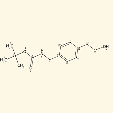 CC(C)(C)OC(=O)NCc1ccc(CCO)cc1